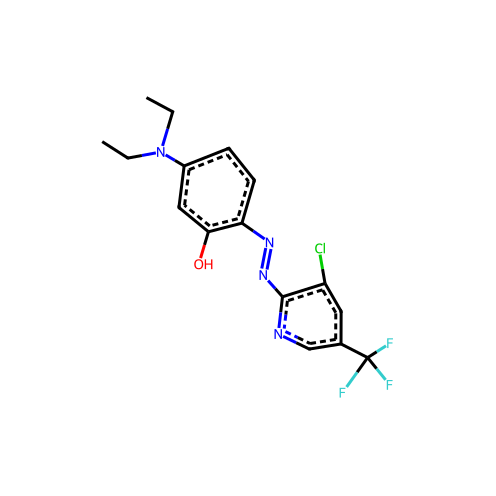 CCN(CC)c1ccc(N=Nc2ncc(C(F)(F)F)cc2Cl)c(O)c1